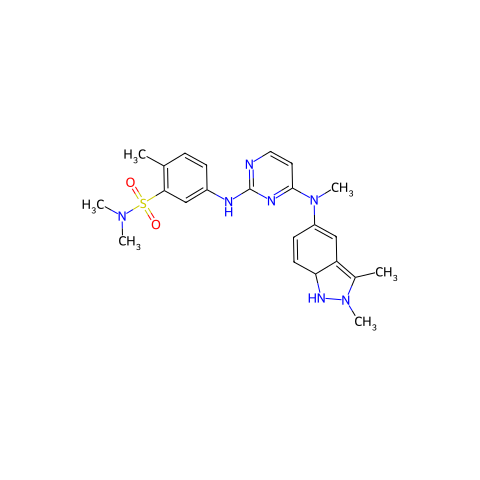 CC1=C2C=C(N(C)c3ccnc(Nc4ccc(C)c(S(=O)(=O)N(C)C)c4)n3)C=CC2NN1C